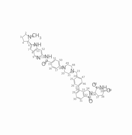 CN1CCC[C@@H]1c1cc2cnc(NC(=O)c3ccc(N4CCN(Cc5ccc(-c6cccc7c6CN(C6CCC(=O)NC6=O)C7=O)cc5)CC4)cc3)cc2[nH]1